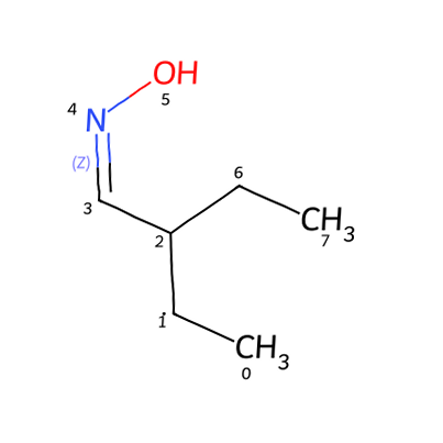 C[CH]C(/C=N\O)CC